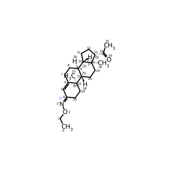 CCO/N=C1/C=C2CC[C@H]3[C@@H]4CC[C@H](C(C)=O)[C@@]4(C)CC[C@@H]3[C@@]2(C)CC1